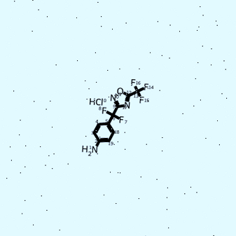 Cl.Nc1ccc(C(F)(F)c2noc(C(F)(F)F)n2)cc1